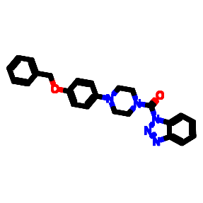 O=C(N1CCN(c2ccc(OCc3ccccc3)cc2)CC1)n1nnc2ccccc21